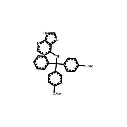 COc1ccc(C(Nc2ncnc3[nH]cnc23)(c2ccccc2)c2ccc(OC)cc2)cc1